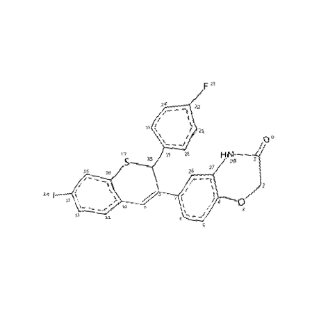 O=C1COc2ccc(C3=Cc4ccc(I)cc4SC3c3ccc(F)cc3)cc2N1